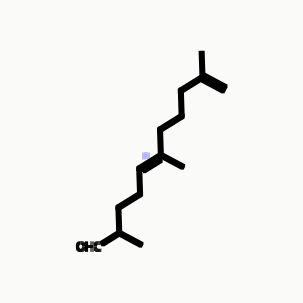 C=C(C)CCC/C(C)=C/CCC(C)C=O